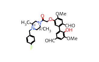 COc1cc(C=O)c(-c2cc(C=O)cc(OC)c2O)cc1OCC(=O)N1C[C@H](C)N(Cc2ccc(F)cc2)C[C@H]1C